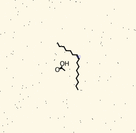 CC(=O)O.CCCCCC/C=C\CCCCCCCC